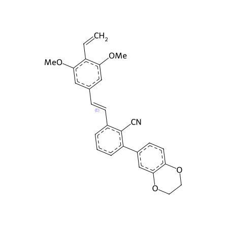 C=Cc1c(OC)cc(/C=C/c2cccc(-c3ccc4c(c3)OCCO4)c2C#N)cc1OC